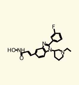 CCN1CCCC(n2c(-c3cccc(F)c3)nc3cc(C=CC(=O)NO)ccc32)C1